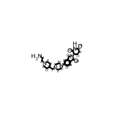 NCCN1CCC(CN2CCN(c3ccc4c(c3)CN(C3CCC(=O)NC3=O)C4=O)CC2)CC1